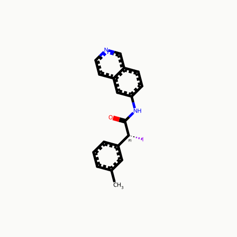 Cc1cccc([C@@H](I)C(=O)Nc2ccc3cnccc3c2)c1